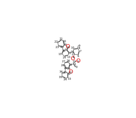 C=C(C(=O)Oc1ccc(C)cc1-c1cccc2c1oc1ccccc12)c1cccc2c1oc1ccccc12